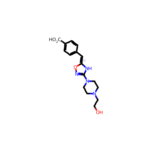 O=C(O)c1ccc(/C=C2/NC(N3CCN(CCO)CC3)=NO2)cc1